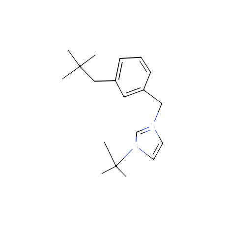 CC(C)(C)Cc1cccc(C[n+]2ccn(C(C)(C)C)c2)c1